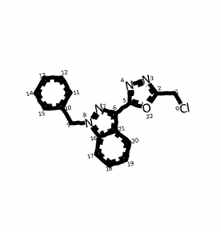 ClCc1nnc(-c2nn(Cc3ccccc3)c3ccccc23)o1